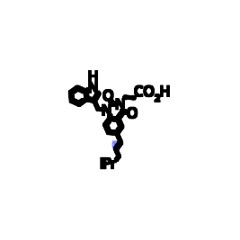 CC(C)C/C=C/c1ccc2c(c1)c(=O)n(CCC(=O)O)c(=O)n2Cc1c[nH]c2ccccc12